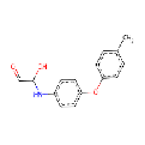 Cc1ccc(Oc2ccc(NC(O)C=O)cc2)cc1